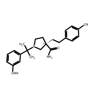 COc1cccc(C(C)(C)N2CC[C@@](CCc3ccc(C#N)cc3)(C(N)=O)C2)c1